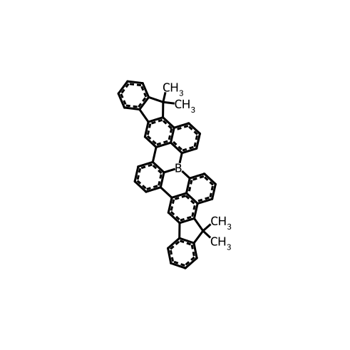 CC1(C)c2ccccc2-c2cc3c4c(cccc4c21)B1c2c-3cccc2-c2cc3c(c4cccc1c24)C(C)(C)c1ccccc1-3